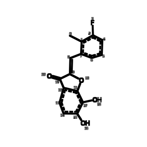 Cc1c(F)cccc1/C=C1\Oc2c(ccc(O)c2O)C1=O